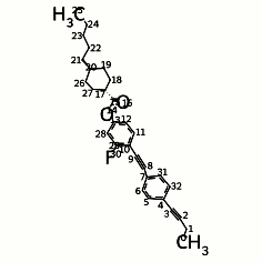 CCC#Cc1ccc(C#Cc2ccc(OC(=O)[C@H]3CC[C@H](CCCCC)CC3)cc2F)cc1